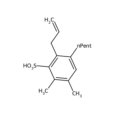 C=CCc1c(CCCCC)cc(C)c(C)c1S(=O)(=O)O